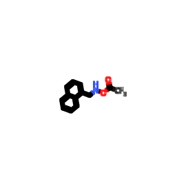 O=C(ONCc1cccc2ccccc12)C(F)(F)F